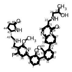 COc1nc(-c2cccc(-c3cccc(-c4ccn5c(=O)c(CNCC(C)O)cnc5c4)c3Cl)c2Cl)cc(F)c1CNC[C@@H]1CCC(=O)N1